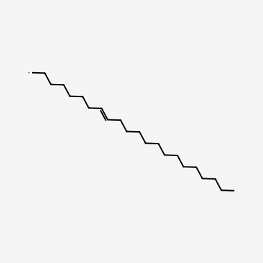 [CH2]CCCCCCC=CCCCCCCCCCCCCC